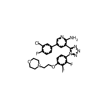 Nc1ncc(-c2ccc(F)c(Cl)c2)cc1-c1nnnn1-c1ccc(OCCN2CCOCC2)c(F)c1F